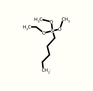 [CH2]CCCC[Si](OC)(OC)OCC